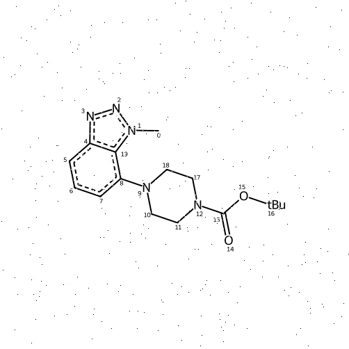 Cn1nnc2cccc(N3CCN(C(=O)OC(C)(C)C)CC3)c21